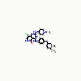 C=C/C=C\C(=C/C)Cc1ccc(Nc2nc(NC3CCN(C)CC3)nc3c(Br)c[nH]c(=O)c23)cc1